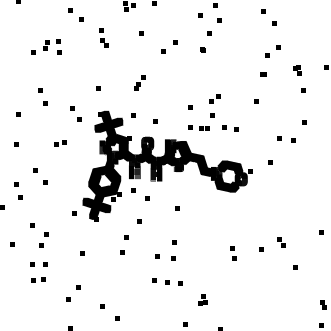 CC(C)(C)c1ccc(-n2nc(C(C)(C)C)cc2NC(=O)Nc2ncc(CCN3CCOCC3)s2)cc1